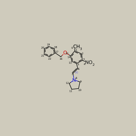 Cc1cc([N+](=O)[O-])c(/C=C/N2CCCC2)cc1OCc1ccccc1